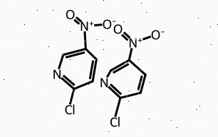 O=[N+]([O-])c1ccc(Cl)nc1.O=[N+]([O-])c1ccc(Cl)nc1